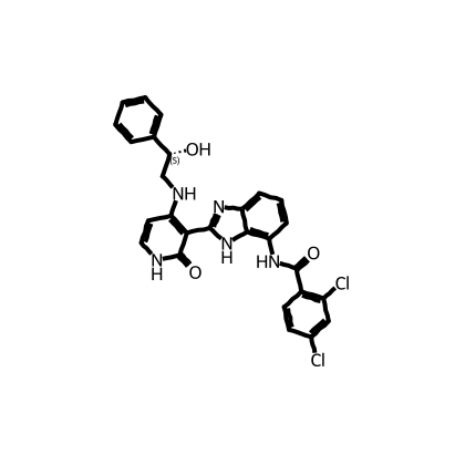 O=C(Nc1cccc2nc(-c3c(NC[C@@H](O)c4ccccc4)cc[nH]c3=O)[nH]c12)c1ccc(Cl)cc1Cl